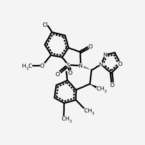 COc1cc(Cl)cc2c1S(=O)(=O)N([C@@H]([C@@H](C)c1c(F)ccc(C)c1C)n1ncoc1=O)C2=O